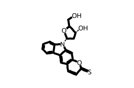 OCC1O[C@@H](n2c3ccccc3c3cc4ccc(=S)oc4cc32)C[C@H]1O